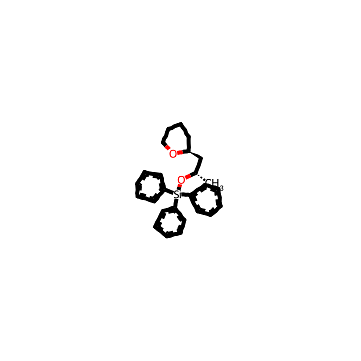 C[C@@H](C[C@@H]1CCCCO1)O[Si](c1ccccc1)(c1ccccc1)c1ccccc1